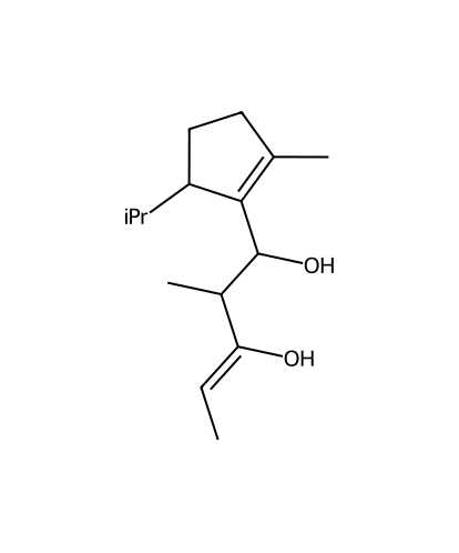 CC=C(O)C(C)C(O)C1=C(C)CCC1C(C)C